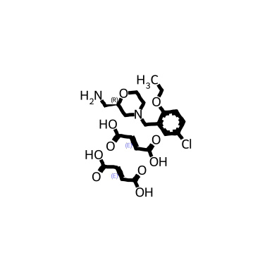 CCOc1ccc(Cl)cc1CN1CCO[C@H](CN)C1.O=C(O)/C=C/C(=O)O.O=C(O)/C=C/C(=O)O